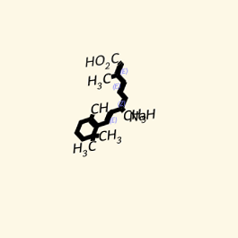 CC1=C(/C=C/C(C)=C\C=C\C(C)=C\C(=O)O)C(C)(C)CCC1.[NaH]